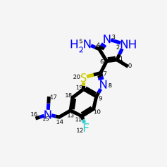 Cc1[nH]nc(N)c1-c1nc2cc(F)c(CN(C)C)cc2s1